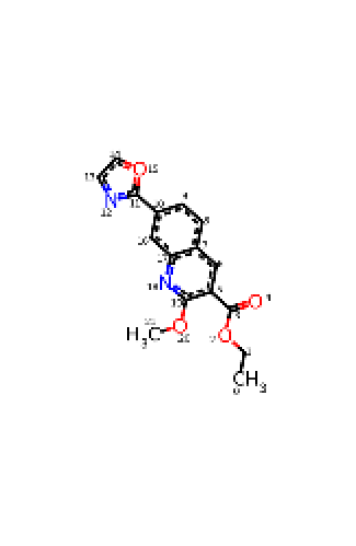 CCOC(=O)c1cc2ccc(-c3ncco3)cc2nc1OC